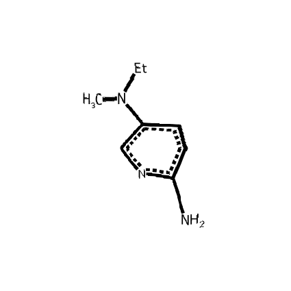 CCN(C)c1ccc(N)nc1